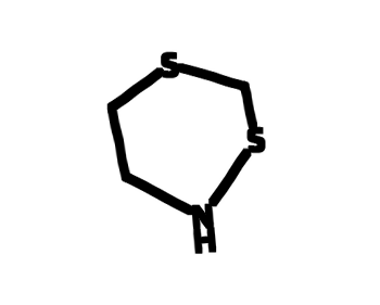 C1CSCSN1